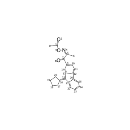 CC(=O)O/N=C(/C)C(=O)c1ccc2c(c1)C(=C1CCCC1)c1ccccc1-2